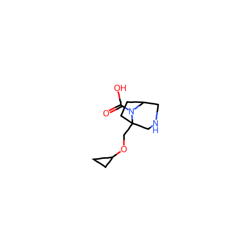 O=C(O)N1C2CCC1(COC1CC1)CNC2